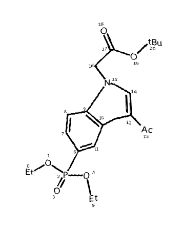 CCOP(=O)(OCC)c1ccc2c(c1)c(C(C)=O)cn2CC(=O)OC(C)(C)C